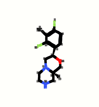 N#Cc1c(F)ccc([C@H]2CN3CCNC[C@@H]3CO2)c1F